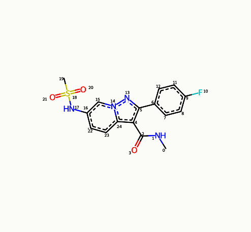 CNC(=O)c1c(-c2ccc(F)cc2)nn2cc(NS(C)(=O)=O)[c]cc12